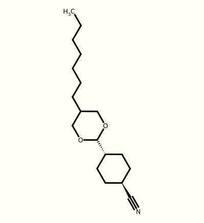 CCCCCCCC1COC([C@H]2CC[C@H](C#N)CC2)OC1